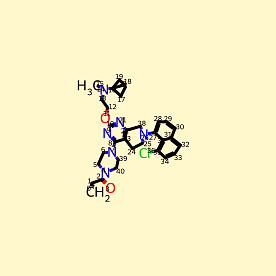 C=CC(=O)N1CCN(c2nc(OCCN(C)C34CC(C3)C4)nc3c2CCN(c2cccc4cccc(Cl)c24)C3)CC1